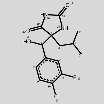 CC(C)CC1(C(O)c2ccc(Cl)c(F)c2)NC(=O)NC1=O